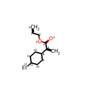 C=CCOC(=O)C(=C)C1CCC(CC)CC1